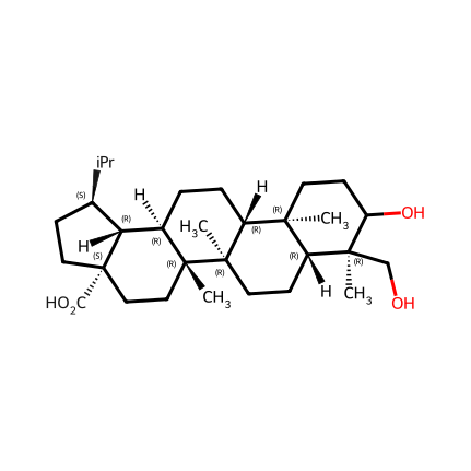 CC(C)[C@@H]1CC[C@]2(C(=O)O)CC[C@]3(C)[C@H](CC[C@@H]4[C@@]5(C)CCC(O)[C@@](C)(CO)[C@@H]5CC[C@]43C)[C@@H]12